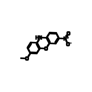 COc1ccc2c(c1)Oc1cc([N+](=O)[O-])ccc1N2